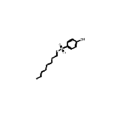 CCCCCCCCOS(=O)(=O)c1ccc(O)cc1